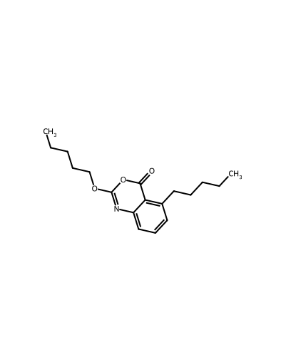 CCCCCOc1nc2cccc(CCCCC)c2c(=O)o1